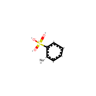 O=S(=O)([O-])c1ccccc1.[Na+]